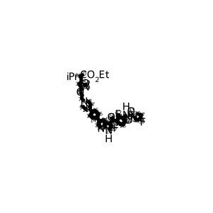 CCOC(=O)C(c1cc(OCCN2CCN(c3ccc(-c4cnc5[nH]cc(C(=O)c6c(F)ccc(NS(=O)(=O)N7CC[C@@H](F)C7)c6F)c5c4)cc3)CC2)no1)C(C)C